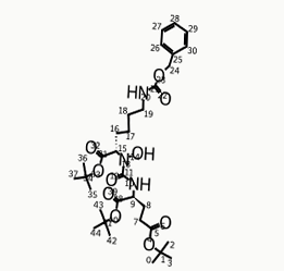 CC(C)(C)OC(=O)CC[C@H](NC(=O)N(O)[C@@H](CCCCNC(=O)OCc1ccccc1)C(=O)OC(C)(C)C)C(=O)OC(C)(C)C